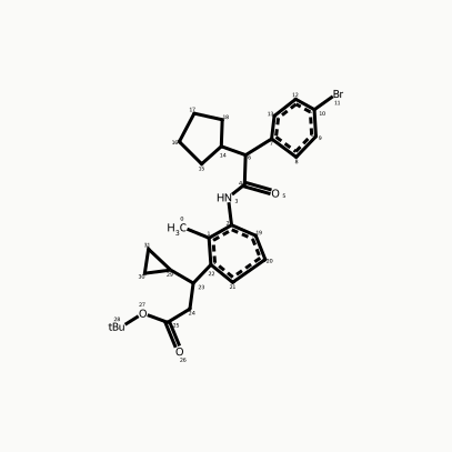 Cc1c(NC(=O)C(c2ccc(Br)cc2)C2CCCC2)cccc1C(CC(=O)OC(C)(C)C)C1CC1